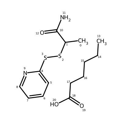 CC(SSc1ccccn1)C(N)=O.CCCCCC(=O)O